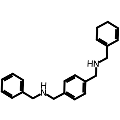 C1=CC(CNCc2ccc(CNCc3ccccc3)cc2)=CCC1